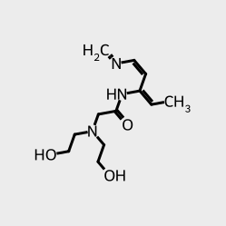 C=N/C=C\C(=C/C)NC(=O)CN(CCO)CCO